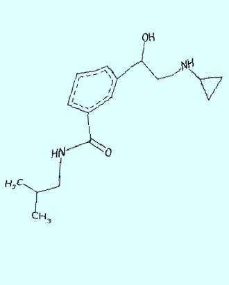 CC(C)CNC(=O)c1cccc(C(O)CNC2CC2)c1